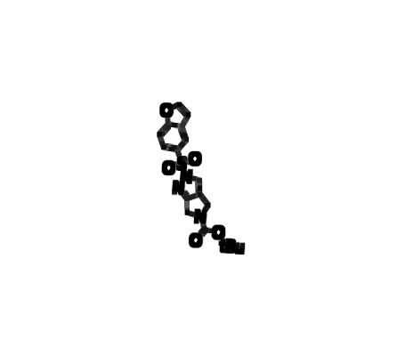 CC(C)(C)OC(=O)N1Cc2cn(S(=O)(=O)c3ccc4occc4c3)nc2C1